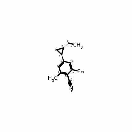 CC[C@H]1C[C@@H]1c1cc(C)c(C#N)c(F)c1